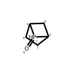 O=[PH]1C2CCC1C2